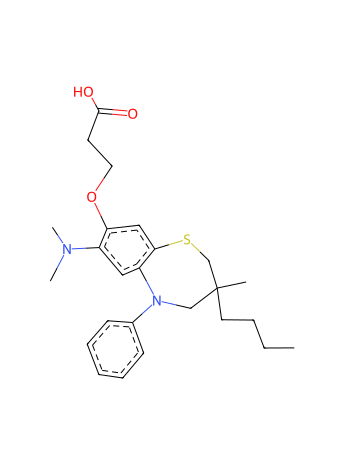 CCCCC1(C)CSc2cc(OCCC(=O)O)c(N(C)C)cc2N(c2ccccc2)C1